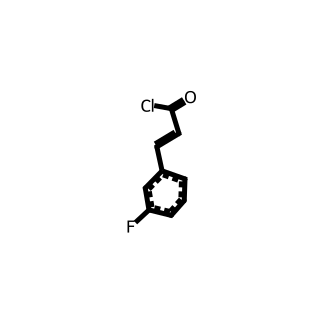 O=C(Cl)/C=C/c1cccc(F)c1